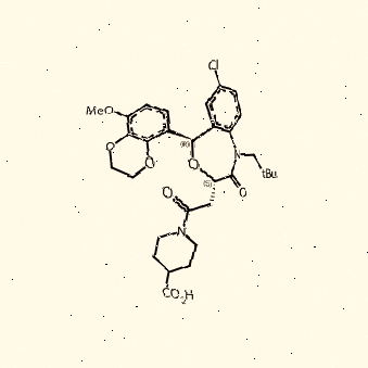 COc1ccc([C@@H]2O[C@@H](CC(=O)N3CCC(C(=O)O)CC3)C(=O)N(CC(C)(C)C)c3ccc(Cl)cc32)c2c1OCCO2